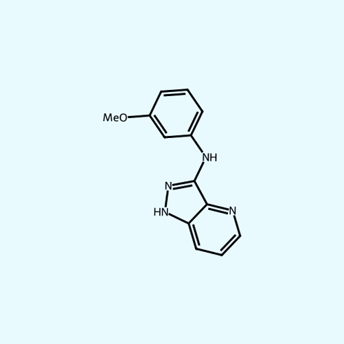 COc1cccc(Nc2n[nH]c3cccnc23)c1